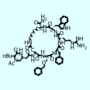 CCCC[C@H]1C(=O)N[C@@H](CC(=O)N[C@H]2CC(=O)NCCCC[C@@H](C(N)=O)NC(=O)[C@H](Cc3c[nH]c4ccccc34)NC(=O)[C@H](CCCNC(=N)N)NC(=O)[C@@H](Cc3ccccc3)NC(=O)[C@H](COCc3ccccc3)NC2=O)CN1C(C)=O